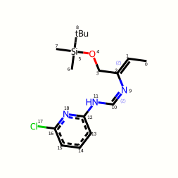 C/C=C(CO[Si](C)(C)C(C)(C)C)\N=C/Nc1cccc(Cl)n1